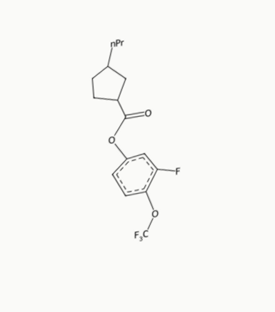 CCCC1CCC(C(=O)Oc2ccc(OC(F)(F)F)c(F)c2)C1